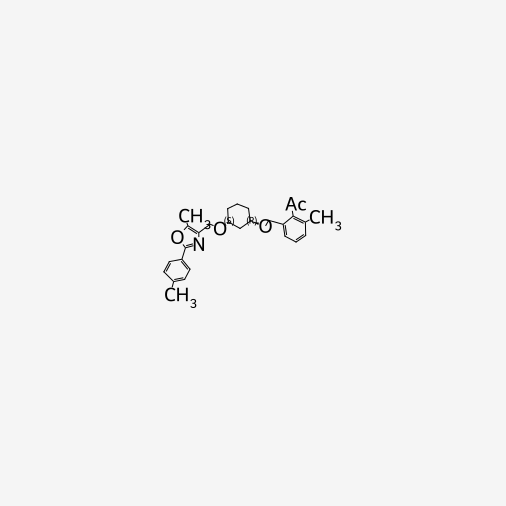 CC(=O)c1c(C)cccc1CO[C@@H]1CCC[C@H](OCc2nc(-c3ccc(C)cc3)oc2C)C1